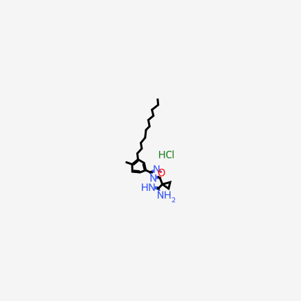 CCCCCCCCCCCc1cc(-c2noc(C3(C(=N)N)CC3)n2)ccc1C.Cl